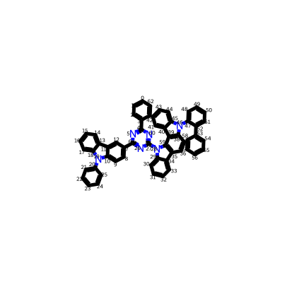 c1ccc(-c2nc(-c3ccc4c(c3)c3ccccc3n4-c3ccccc3)nc(-n3c4ccccc4c4ccc5c(c6ccccc6n5-c5ccccc5-c5ccccc5)c43)n2)cc1